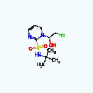 CC(C)(C)NS(=O)(=O)C1=NC=CCN1C(O)CCl